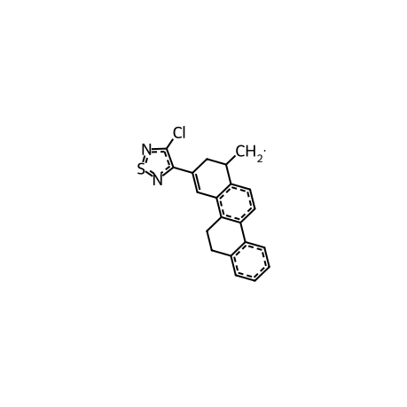 [CH2]C1CC(c2nsnc2Cl)=Cc2c1ccc1c2CCc2ccccc2-1